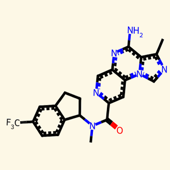 Cc1ncn2c1c(N)nc1cnc(C(=O)N(C)C3CCc4cc(C(F)(F)F)ccc43)cc12